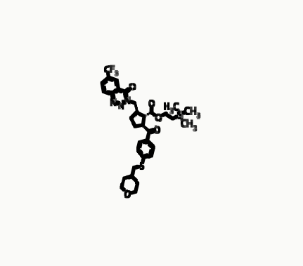 C[Si](C)(C)CCOC(=O)[C@H]1[C@H](Cn2nnc3ccc(C(F)(F)F)cc3c2=O)CC[C@@H]1C(=O)c1ccc(SCC2CCOCC2)cc1